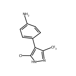 Nc1ccc(-c2c(C(F)(F)F)n[nH]c2Cl)cc1